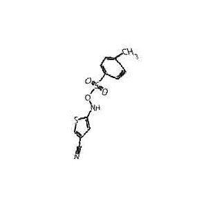 Cc1ccc(S(=O)(=O)ONc2cc(C#N)cs2)cc1